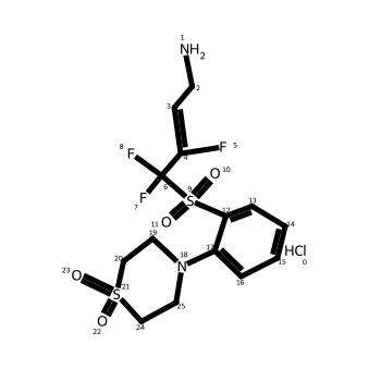 Cl.NC/C=C(\F)C(F)(F)S(=O)(=O)c1ccccc1N1CCS(=O)(=O)CC1